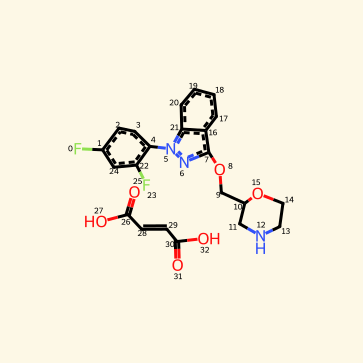 Fc1ccc(-n2nc(OCC3CNCCO3)c3ccccc32)c(F)c1.O=C(O)C=CC(=O)O